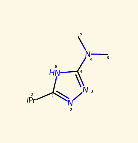 CC(C)c1nnc(N(C)C)[nH]1